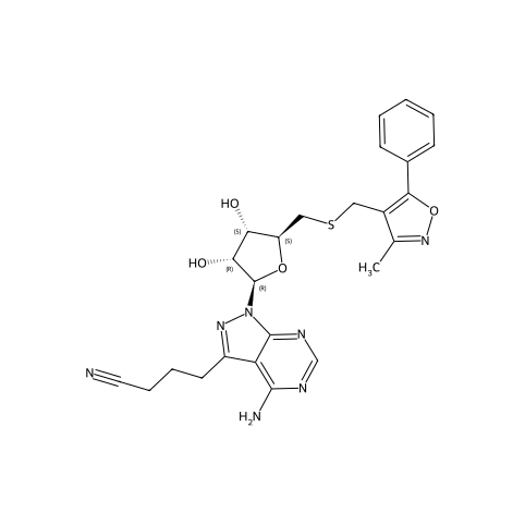 Cc1noc(-c2ccccc2)c1CSC[C@H]1O[C@@H](n2nc(CCCC#N)c3c(N)ncnc32)[C@H](O)[C@@H]1O